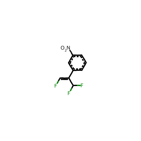 O=[N+]([O-])c1cccc(C(=CF)C(F)F)c1